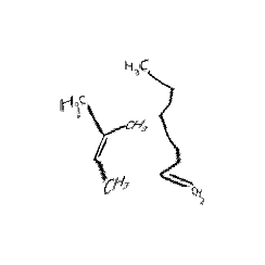 C=CCCCC.CC=C(C)C